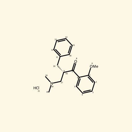 COc1ccccc1C(=O)[C@@H](Cc1ccccc1)CN(C)C.Cl